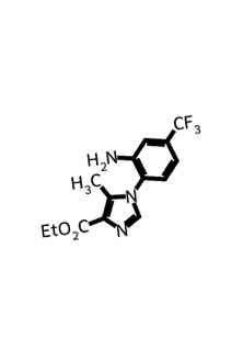 CCOC(=O)c1ncn(-c2ccc(C(F)(F)F)cc2N)c1C